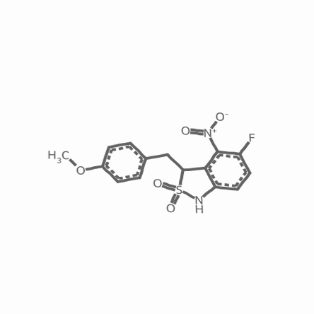 COc1ccc(CC2c3c(ccc(F)c3[N+](=O)[O-])NS2(=O)=O)cc1